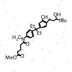 CCC(CC)(c1ccc(N(C)C(=O)CCCC(=O)OC)cc1)c1ccc(CCC(O)C(C)(C)C)c(C)c1